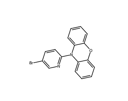 Brc1ccc(N2c3ccccc3Oc3ccccc32)nc1